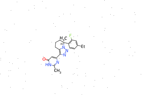 CCc1ccc([C@]2(C)CCCc3c(-c4cc(=O)[nH]c(C)n4)nnn32)c(F)c1